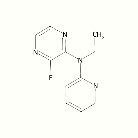 CCN(c1ccccn1)c1nccnc1F